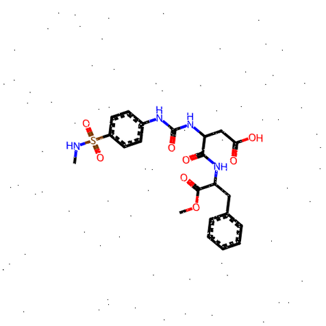 CNS(=O)(=O)c1ccc(NC(=O)NC(CC(=O)O)C(=O)NC(Cc2ccccc2)C(=O)OC)cc1